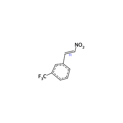 O=[N+]([O-])/C=C/c1cccc(C(F)(F)F)c1